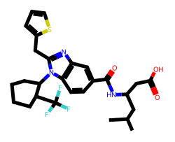 CC(C)CC(CC(=O)O)NC(=O)c1ccc2c(c1)nc(Cc1cccs1)n2C1CCCCC1C(F)(F)F